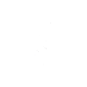 C/C(=N\Nc1cc(F)ccc1C)C(=O)O